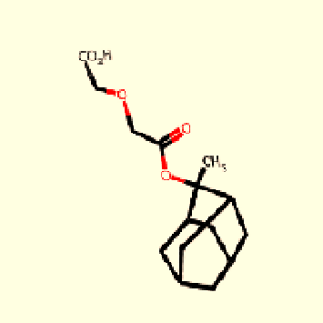 CC1(OC(=O)COCC(=O)O)C2CC3CC(C2)CC1C3